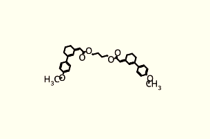 COc1ccc(C2=CC(=CC(=O)OCCCCOC(=O)C=C3C=C(c4ccc(OC)cc4)CCC3)CCC2)cc1